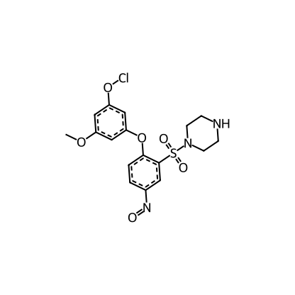 COc1cc(OCl)cc(Oc2ccc(N=O)cc2S(=O)(=O)N2CCNCC2)c1